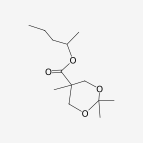 CCCC(C)OC(=O)C1(C)COC(C)(C)OC1